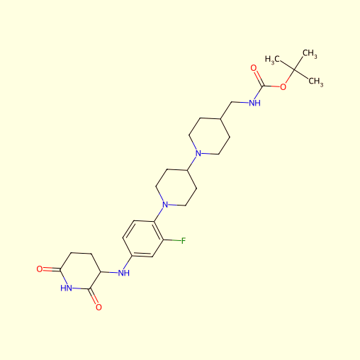 CC(C)(C)OC(=O)NCC1CCN(C2CCN(c3ccc(NC4CCC(=O)NC4=O)cc3F)CC2)CC1